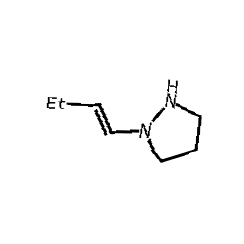 [CH2]CC=CN1CCCN1